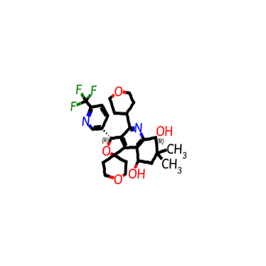 CC1(C)CC(O)c2c(nc(C3CCOCC3)c3c2C2(CCOCC2)O[C@@H]3c2ccc(C(F)(F)F)nc2)[C@@H]1O